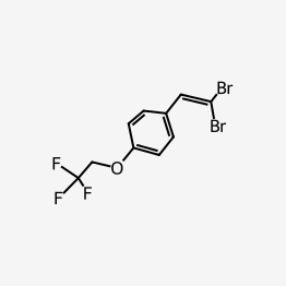 FC(F)(F)COc1ccc(C=C(Br)Br)cc1